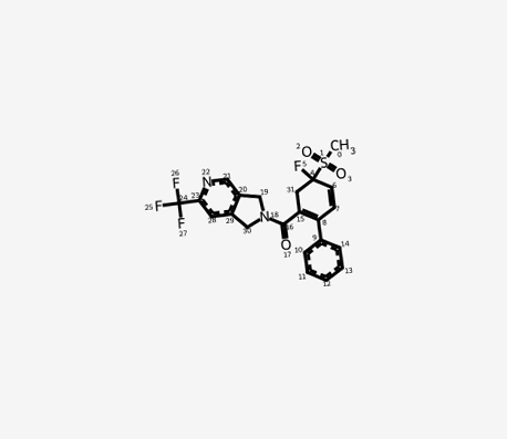 CS(=O)(=O)C1(F)C=CC(c2ccccc2)=C(C(=O)N2Cc3cnc(C(F)(F)F)cc3C2)C1